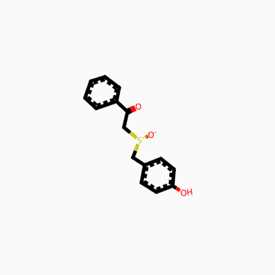 O=C(C[S+]([O-])Cc1ccc(O)cc1)c1ccccc1